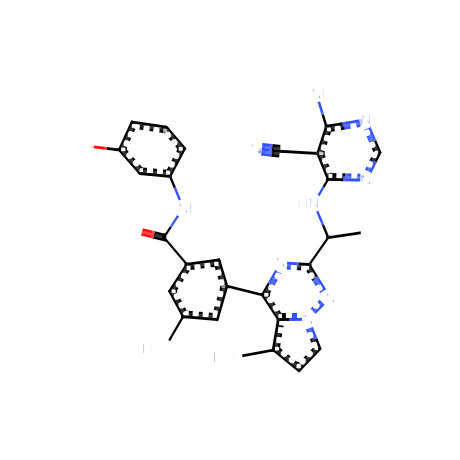 Cc1cc(C(=O)Nc2cccc(O)c2)cc(-c2nc(C(C)Nc3ncnc(N)c3C#N)nn3ccc(C)c23)c1